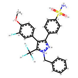 COc1ccc(-c2c(-c3ccc(S(N)(=O)=O)cc3)nn(Cc3ccccc3)c2C(F)(F)F)cc1F